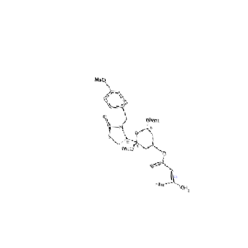 CCCCC[C@@H]1CC(OC(=O)/C=C(/C)CCCC)C[C@](OC)([C@@H]2CSC(=O)N2Cc2ccc(OC)cc2)O1